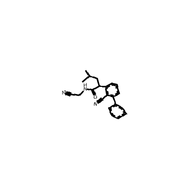 CC(C)CC(C(=O)NCC#N)c1cccc(-c2ccccc2)c1C#N